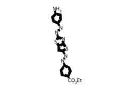 CCOC(=O)c1ccc(N=Nc2cc3sc(N=Nc4ccc(N)cc4)nc3s2)cc1